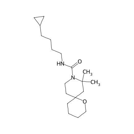 CC1(C)CC2(CCCCO2)CCN1C(=O)NCCCCC1CC1